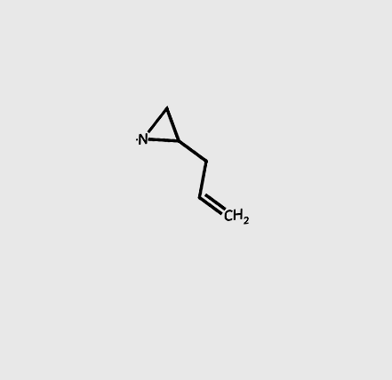 C=CCC1C[N]1